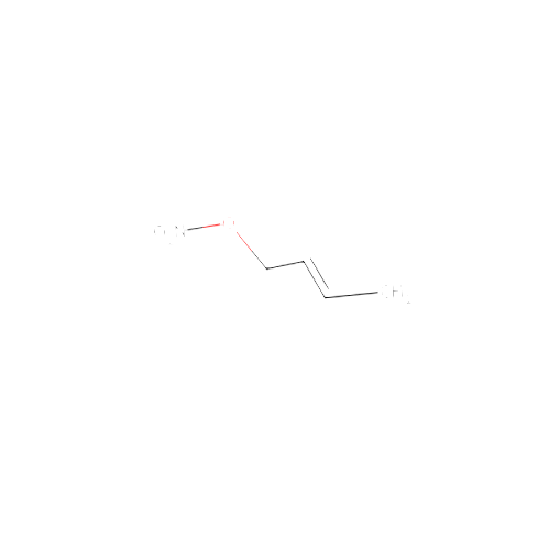 [CH2]C=CCO[N+](=O)[O-]